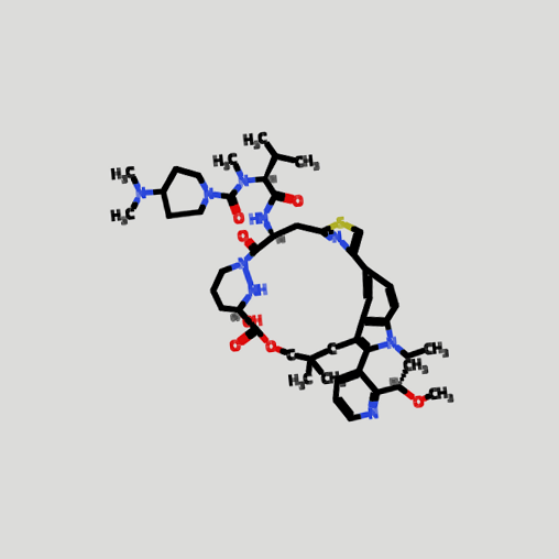 CCn1c(-c2cccnc2[C@H](C)OC)c2c3cc(ccc31)-c1csc(n1)C[C@H](NC(=O)[C@H](C(C)C)N(C)C(=O)N1CCC(N(C)C)CC1)C(=O)N1CCC[C@@](O)(N1)C(=O)OCC(C)(C)C2